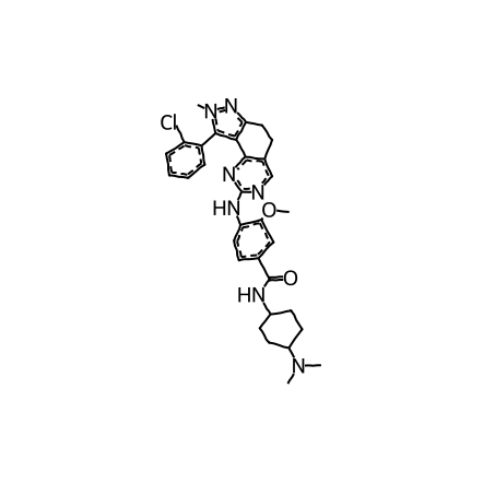 COc1cc(C(=O)NC2CCC(N(C)C)CC2)ccc1Nc1ncc2c(n1)-c1c(nn(C)c1-c1ccccc1Cl)CC2